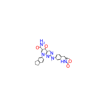 CN(c1ccc(C[C@H]2COC(=O)N2)cc1)c1ncc2c(=O)c(C(N)=O)cn(-c3ccc4c(c3)CCC4)c2n1